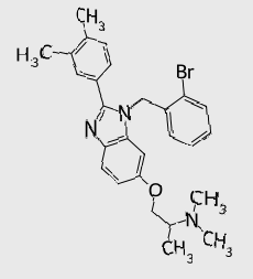 Cc1ccc(-c2nc3ccc(OCC(C)N(C)C)cc3n2Cc2ccccc2Br)cc1C